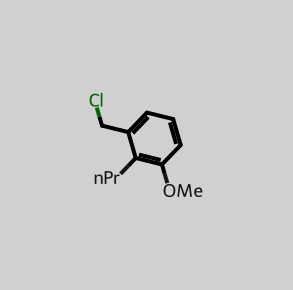 CCCc1c(CCl)cccc1OC